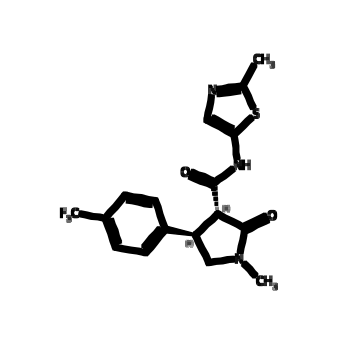 Cc1ncc(NC(=O)[C@@H]2C(=O)N(C)C[C@H]2c2ccc(C(F)(F)F)cc2)s1